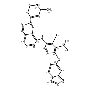 C[C@H]1C=C(c2ncc3ncnc(Nc4ccc(Oc5ccn6ncnc6c5)c(C(F)F)c4F)c3n2)CCN1